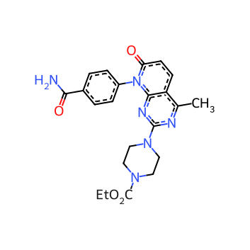 CCOC(=O)N1CCN(c2nc(C)c3ccc(=O)n(-c4ccc(C(N)=O)cc4)c3n2)CC1